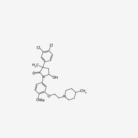 COc1ccc(N2C(=O)C(C)(c3ccc(Cl)c(Cl)c3)CC2O)cc1OCCN1CCC(C)CC1